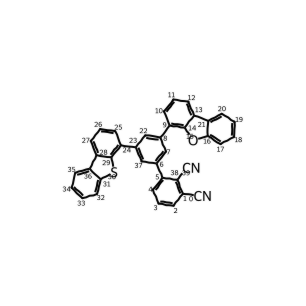 N#Cc1cccc(-c2cc(-c3cccc4c3oc3ccccc34)cc(-c3cccc4c3sc3ccccc34)c2)c1C#N